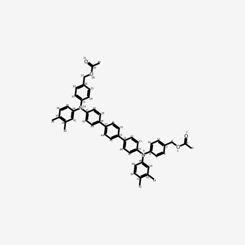 CC(=O)OCc1ccc(N(c2ccc(-c3ccc(-c4ccc(N(c5ccc(COC(C)=O)cc5)c5ccc(C)c(C)c5)cc4)cc3)cc2)c2ccc(C)c(C)c2)cc1